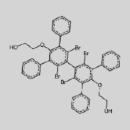 OCCOc1c(-c2ccccc2)c(Br)c(-c2c(Br)c(-c3ccccc3)c(OCCO)c(-c3ccccc3)c2Br)c(Br)c1-c1ccccc1